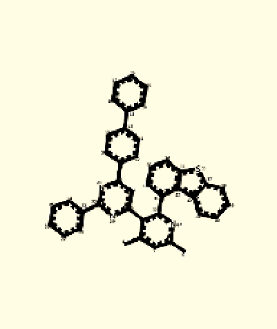 Cc1cc(C)c(-c2cc(-c3ccc(-c4ccccc4)cc3)nc(-c3ccccc3)n2)c(-c2cccc3sc4ccccc4c23)n1